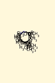 COc1cc2cc(c1Cl)N(C)C(=O)C[C@H](OC(=O)C(C)N(C)C(=O)C(C)C)[C@]1(C)O[C@H]1[C@H](C)[C@@H]1C[C@@](O)(NC(=O)O1)[C@H](OC)/C=C/C=C(\C)C2